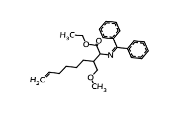 C=CCCCCC(COC)C(N=C(c1ccccc1)c1ccccc1)C(=O)OCC